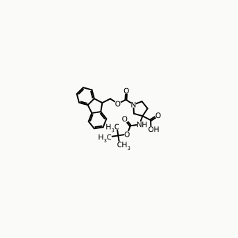 CC(C)(C)OC(=O)NC1(C(=O)O)CCN(C(=O)OCC2c3ccccc3-c3ccccc32)C1